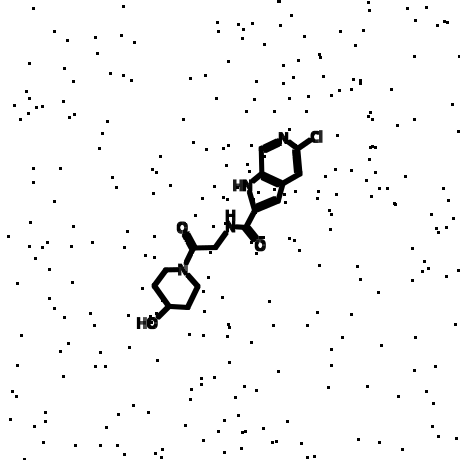 O=C(NCC(=O)N1CCC(O)CC1)c1cc2cc(Cl)ncc2[nH]1